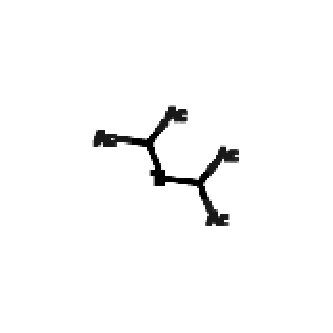 CC(=O)[CH]([Ti][CH](C(C)=O)C(C)=O)C(C)=O